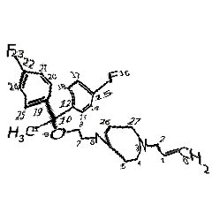 C=CCN1CCN(CCOC(C)(c2ccc(F)cc2)c2ccc(F)cc2)CC1